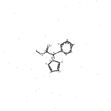 COC(=O)C(c1ccccc1)[SH]1C=CC=C1